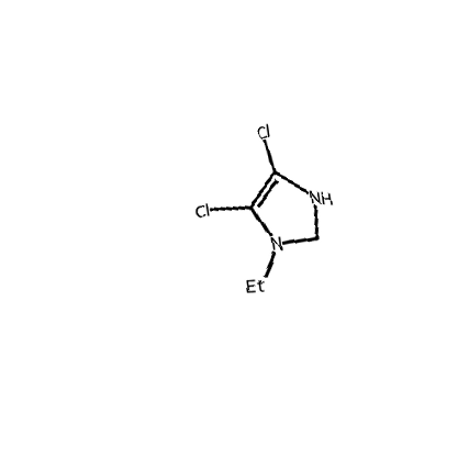 CCN1CNC(Cl)=C1Cl